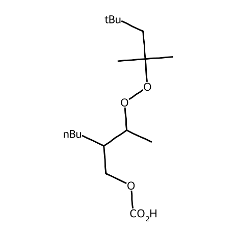 CCCCC(COC(=O)O)C(C)OOC(C)(C)CC(C)(C)C